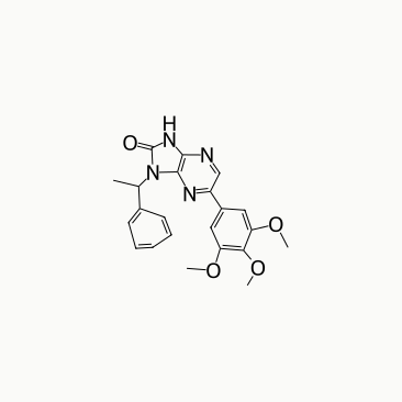 COc1cc(-c2cnc3[nH]c(=O)n(C(C)c4ccccc4)c3n2)cc(OC)c1OC